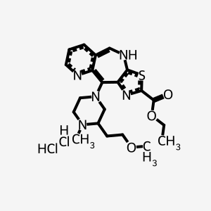 CCOC(=O)c1nc2c(s1)NC=c1cccnc1=C2N1CCN(C)C(CCOC)C1.Cl.Cl